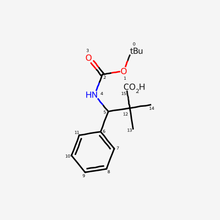 CC(C)(C)OC(=O)NC(c1ccccc1)C(C)(C)C(=O)O